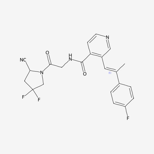 C/C(=C\c1cnccc1C(=O)NCC(=O)N1CC(F)(F)CC1C#N)c1ccc(F)cc1